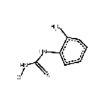 Cc1ccccc1NC(=S)NCl